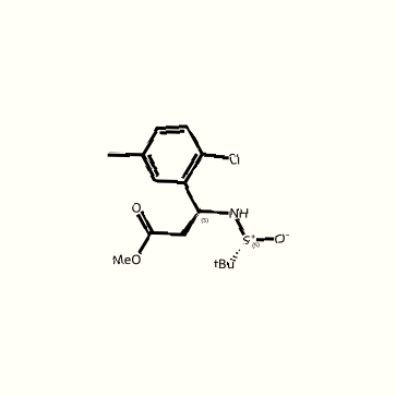 COC(=O)C[C@H](N[S@+]([O-])C(C)(C)C)c1cc(C)ccc1Cl